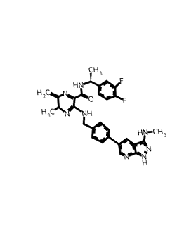 C=C1N=C(C(=O)N[C@@H](C)c2ccc(F)c(F)c2)C(NCc2ccc(-c3cnc4[nH]nc(NC)c4c3)cc2)=NC1C